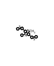 Cc1nc2cc(-c3ccc4sc5ccccc5c4c3)cc3c(-c4ccccc4)nc4cc(-c5ccc6sc7ccccc7c6c5)cc1c4c23